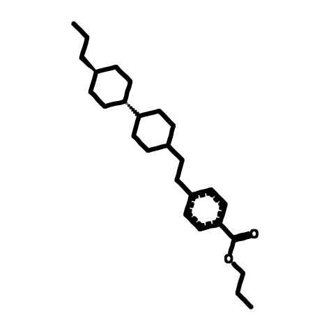 CCCOC(=O)c1ccc(CCC2CCC([C@H]3CC[C@H](CCC)CC3)CC2)cc1